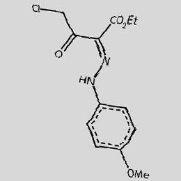 CCOC(=O)C(=NNc1ccc(OC)cc1)C(=O)CCl